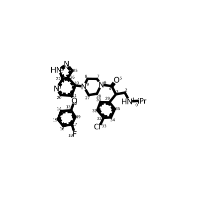 CC(C)NCC(C(=O)N1CCN(c2c(Oc3cccc(F)c3)cnc3[nH]ncc23)CC1)c1ccc(Cl)cc1